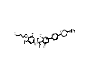 CCCC1CCC(c2ccc(-c3cc(F)c(C(F)(F)Oc4cc(F)c(OCCCF)c(F)c4)c(F)c3)cc2)OC1